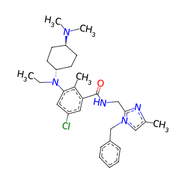 CCN(c1cc(Cl)cc(C(=O)NCc2nc(C)cn2Cc2ccccc2)c1C)[C@H]1CC[C@H](N(C)C)CC1